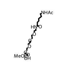 COP(=O)(O)OCCOCCOCCOCCNC(=O)CCCCCNC(C)=O